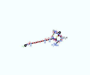 CCNC(=O)[C@@H]1CSCC(=O)N[C@@H](CCCCNC(=O)COCC(=O)NCCOCCOCCOCCOCCOCCNC(=O)CO/N=C/c2ccc([18F])cc2)C(=O)N[C@H]2CSSC[C@H](NC(=O)[C@H](CC(=O)O)NC(=O)CNC(=O)[C@H](CCCNC(=N)N)NC2=O)C(=O)N[C@@H](Cc2ccccc2)C(=O)N1